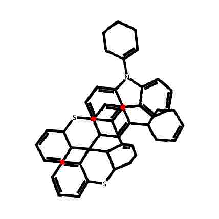 C1=CC2SC3C=CC(C4CC=CCC4)=CC3C3(c4ccccc4SC4CCC=C(c5cccc6c5c5ccccc5n6C5=CCCCC5)C43)C2C=C1